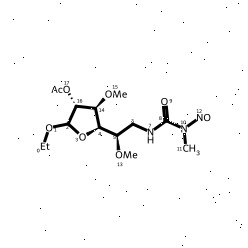 CCOC1O[C@H]([C@@H](CNC(=O)N(C)N=O)OC)[C@H](OC)[C@H]1OC(C)=O